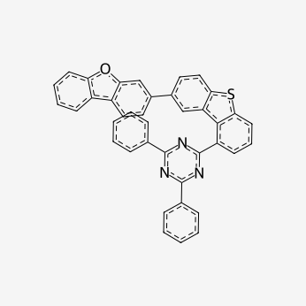 c1ccc(-c2nc(-c3ccccc3)nc(-c3cccc4sc5ccc(-c6ccc7c(c6)oc6ccccc67)cc5c34)n2)cc1